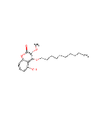 CCCCCCCCCCOc1c(OC)c(=O)oc2cccc(O)c12